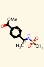 COC(=O)c1ccc([C@H](C)NS(C)(=O)=O)cc1